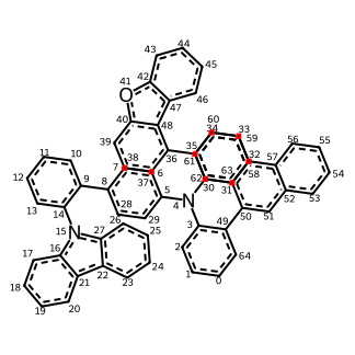 c1ccc(N(c2ccc(-c3ccccc3-n3c4ccccc4c4ccccc43)cc2)c2ccccc2-c2cccc3oc4ccccc4c23)c(-c2cc3ccccc3c3ccccc23)c1